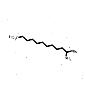 CCCCC(N)CCCCCCCCCC(=O)O